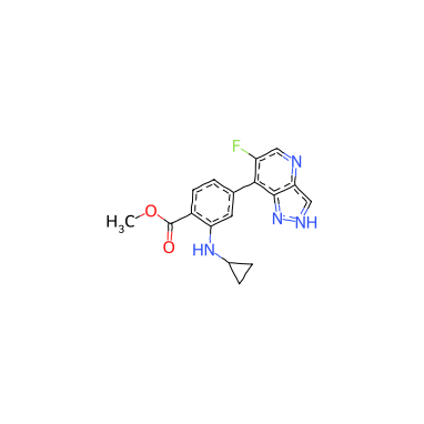 COC(=O)c1ccc(-c2c(F)cnc3c[nH]nc23)cc1NC1CC1